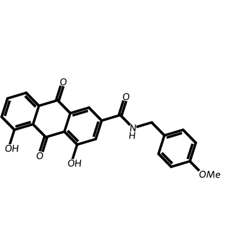 COc1ccc(CNC(=O)c2cc(O)c3c(c2)C(=O)c2cccc(O)c2C3=O)cc1